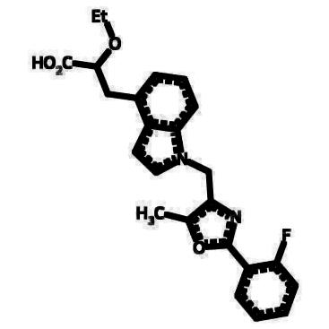 CCOC(Cc1cccc2c1ccn2Cc1nc(-c2ccccc2F)oc1C)C(=O)O